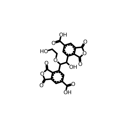 O=C(O)c1cc2c(c(C(O)C(OCCO)c3cc(C(=O)O)cc4c3C(=O)OC4=O)c1)C(=O)OC2=O